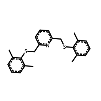 Cc1cccc(C)c1SCc1cccc(CSc2c(C)cccc2C)n1